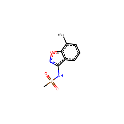 CC(C)(C)c1cccc2c(NS(C)(=O)=O)noc12